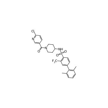 Cc1cccc(C)c1-c1ccc(S(=O)(=O)NC2CCN(C(=O)c3ccc(Cl)nc3)CC2)c(C(F)(F)F)c1